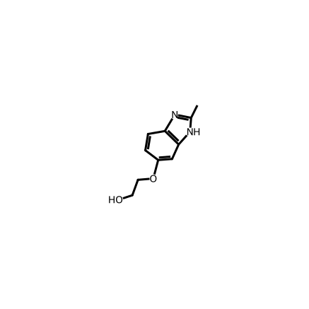 Cc1nc2ccc(OCCO)cc2[nH]1